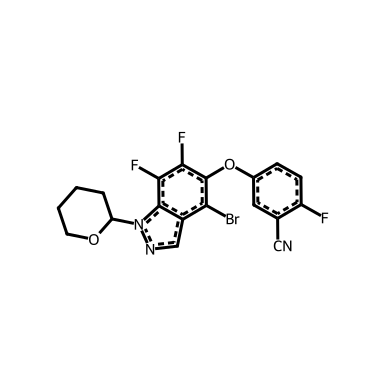 N#Cc1cc(Oc2c(F)c(F)c3c(cnn3C3CCCCO3)c2Br)ccc1F